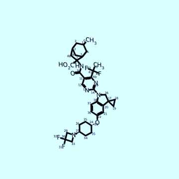 CC1CC2CC(C1)C(NC(=O)c1cnc(N3CC4(CC4)c4cc(O[C@H]5CC[C@H](N6CC(F)(F)C6)CC5)ccc43)nc1C(C)(F)F)(C(=O)O)C2